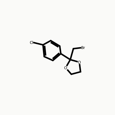 Clc1ccc(C2(CBr)OCCO2)cc1